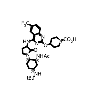 CC(=O)N[C@@H]1C[C@H](NC(C)(C)C)CC[C@@H]1N1CCC(Nc2nc(OC3CCN(C(=O)O)CC3)nc3ccc(C(F)(F)F)cc23)C1=O